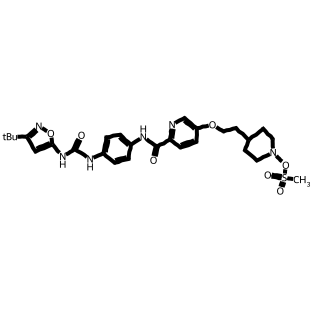 CC(C)(C)c1cc(NC(=O)Nc2ccc(NC(=O)c3ccc(OCCC4CCN(OS(C)(=O)=O)CC4)cn3)cc2)on1